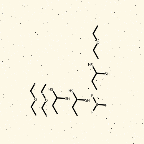 CCC(S)S.CCC(S)S.CCC(S)S.CCOCC.CCOCC.CCOCC.FB(F)F